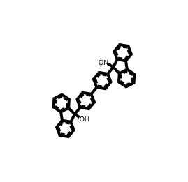 O=NC1(c2ccc(-c3ccc(C4(O)c5ccccc5-c5ccccc54)cc3)cc2)c2ccccc2-c2ccccc21